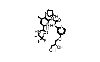 CC1=CC(C(=O)N[C@H](C)C(F)(F)F)NC2=C1N1CC[C@@H](C1)N2C(=O)Nc1cc(OC[C@H](O)CO)ccn1